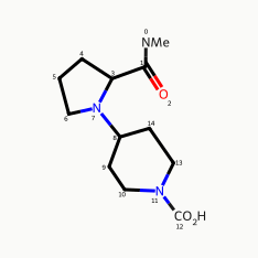 CNC(=O)C1CCCN1C1CCN(C(=O)O)CC1